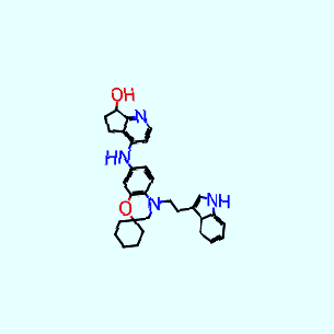 OC1CCc2c(Nc3ccc4c(c3)OC3(CCCCC3)CN4CCC3=CNC4=CC=CCC34)ccnc21